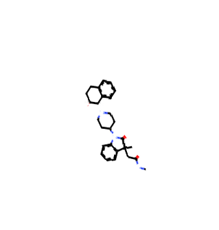 CNC(=O)CC1(C)C(=O)N(C2CCN([C@H]3c4ccccc4CC[C@@H]3O)CC2)c2ccccc21